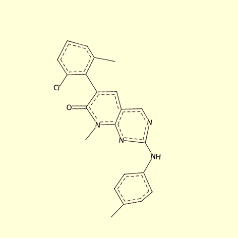 Cc1ccc(Nc2ncc3cc(-c4c(C)cccc4Cl)c(=O)n(C)c3n2)cc1